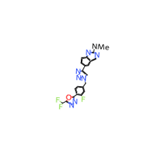 CNc1ncc2cc(-c3cn(Cc4ccc(-c5nnc(C(F)F)o5)c(F)c4)nn3)ccc2n1